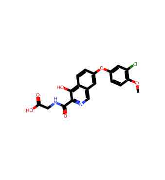 COc1ccc(Oc2ccc3c(O)c(C(=O)NCC(=O)O)ncc3c2)cc1Cl